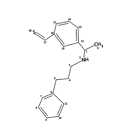 CC(NCCCc1ccccc1)c1cccc(C=S)c1